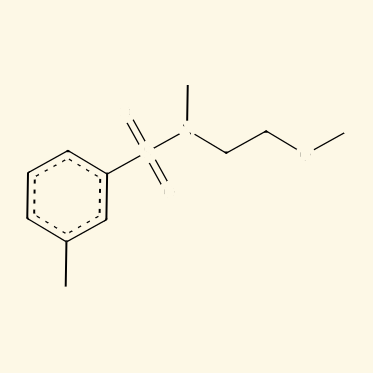 [CH2]c1cccc(S(=O)(=O)N(C)CCOC)c1